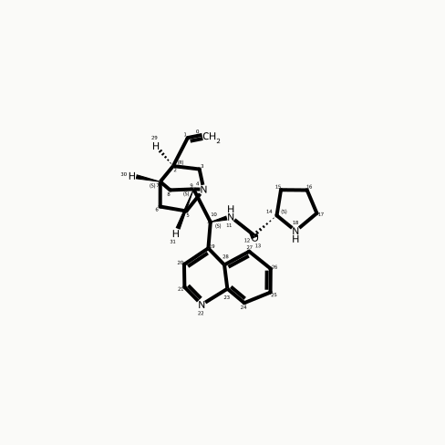 C=C[C@H]1CN2CC[C@H]1C[C@H]2[C@@H](NC(=O)[C@@H]1CCCN1)c1ccnc2ccccc12